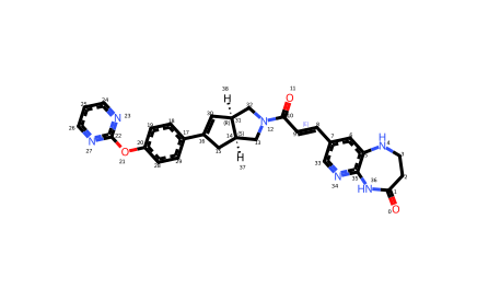 O=C1CCNc2cc(/C=C/C(=O)N3C[C@H]4CC(c5ccc(Oc6ncccn6)cc5)=C[C@H]4C3)cnc2N1